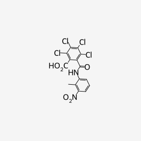 Cc1c(NC(=O)c2c(Cl)c(Cl)c(Cl)c(Cl)c2C(=O)O)cccc1[N+](=O)[O-]